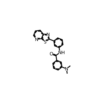 CN(C)c1cccc(C(=O)Nc2cccc(-c3nc4cccnc4s3)c2)c1